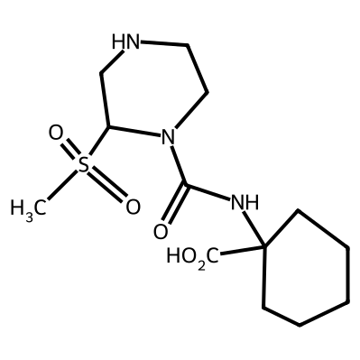 CS(=O)(=O)C1CNCCN1C(=O)NC1(C(=O)O)CCCCC1